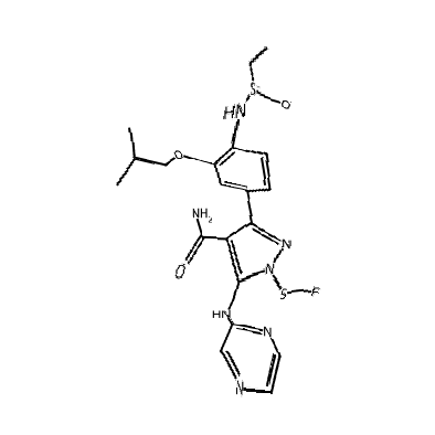 CC[S+]([O-])Nc1ccc(-c2nn(SF)c(Nc3cnccn3)c2C(N)=O)cc1OCC(C)C